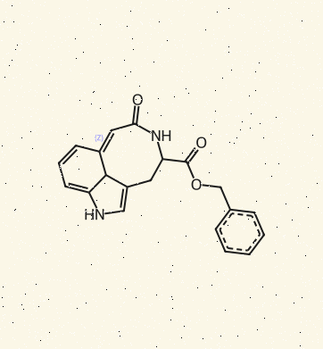 O=C1/C=C2/C=CC=C3NC=C(CC(C(=O)OCc4ccccc4)N1)C32